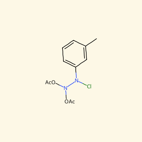 CC(=O)ON(OC(C)=O)N(Cl)c1cccc(C)c1